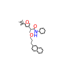 C[Si](C)(C)c1cc(C(COCCCc2ccc3ccccc3c2)C(=O)Nc2ccccc2)co1